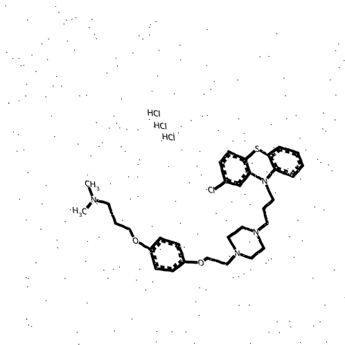 CN(C)CCCOc1ccc(OCCN2CCN(CCCN3c4ccccc4Sc4ccc(Cl)cc43)CC2)cc1.Cl.Cl.Cl